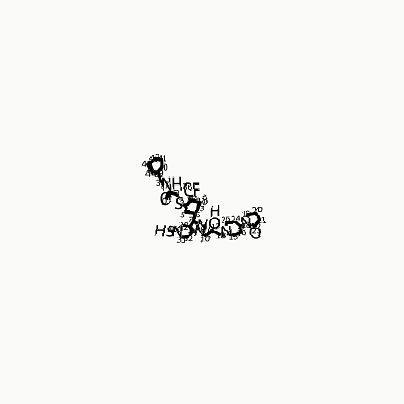 O=C(CSc1cc(-c2nn(CC(O)CN3CCC(N4CCCC4=O)CC3)c3c2CN(S)CC3)ccc1C(F)(F)F)NCc1ccccc1